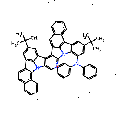 CC(C)(C)c1cc(N(c2ccccc2)c2ccccc2)c2c(c1)c1c3ccccc3cc3c4c5c6cc(C(C)(C)C)cc7c8ccc9ccccc9c8n(c5cnc4n2c31)c76